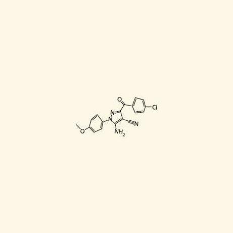 COc1ccc(-n2nc(C(=O)c3ccc(Cl)cc3)c(C#N)c2N)cc1